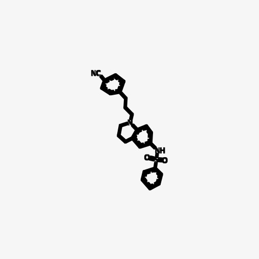 N#Cc1ccc(CCCN2CCCc3cc(NS(=O)(=O)c4ccccc4)ccc32)cc1